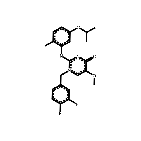 COc1cn(Cc2ccc(F)c(F)c2)c(Nc2cc(OC(C)C)ccc2C)nc1=O